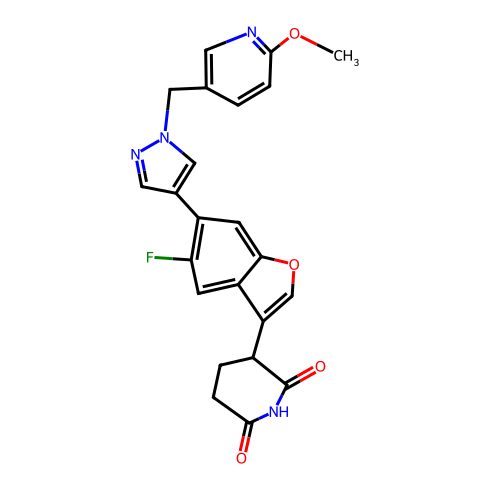 COc1ccc(Cn2cc(-c3cc4occ(C5CCC(=O)NC5=O)c4cc3F)cn2)cn1